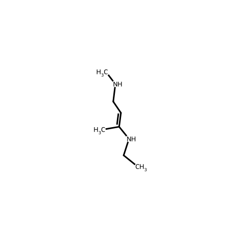 CCN/C(C)=C/CNC